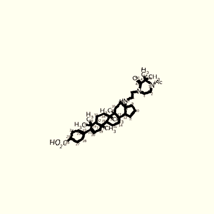 CC(=O)N1CCN(CCNC23CCCC2C2CCC4C5(C)CC=C(C6=CCC(C(=O)O)CC6)C(C)(C)C5CCC4(C)[C@]2(C)CC3)C(=O)C1(C)C